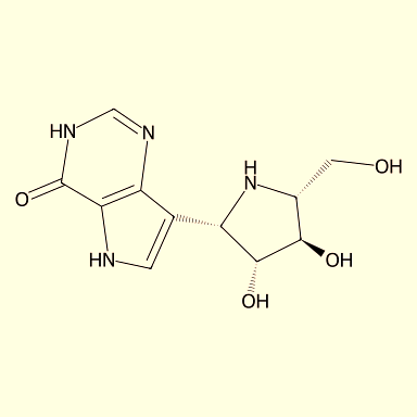 O=c1[nH]cnc2c([C@@H]3N[C@H](CO)[C@@H](O)[C@@H]3O)c[nH]c12